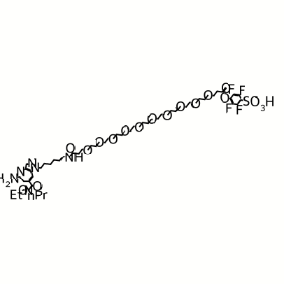 CCCN(OCC)C(=O)C1=Cc2c(cnn2CCCCCCNC(=O)CCOCCOCCOCCOCCOCCOCCOCCOCCOCCOCCC(=O)Oc2c(F)c(F)c(S(=O)(=O)O)c(F)c2F)N=C(N)C1